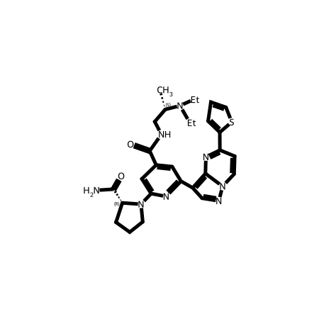 CCN(CC)[C@@H](C)CNC(=O)c1cc(-c2cnn3ccc(-c4cccs4)nc23)nc(N2CCC[C@@H]2C(N)=O)c1